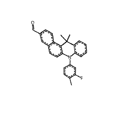 Cc1ccc(N2c3ccccc3C(C)(C)c3c2ccc2cc(C=O)ccc32)cc1F